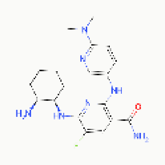 CN(C)c1ccc(Nc2nc(N[C@@H]3CCCC[C@@H]3N)c(F)cc2C(N)=O)cn1